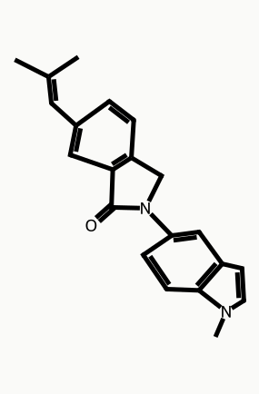 CC(C)=Cc1ccc2c(c1)C(=O)N(c1ccc3c(ccn3C)c1)C2